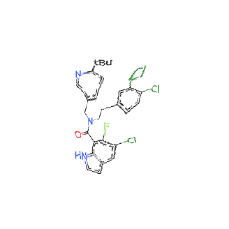 CC(C)(C)c1ccc(CN(CCc2ccc(Cl)c(Cl)c2)C(=O)c2c(F)c(Cl)cc3cc[nH]c23)cn1